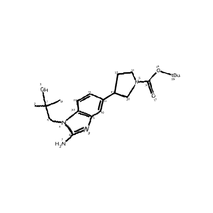 CC(C)(O)Cn1c(N)nc2cc(C3CCN(C(=O)OC(C)(C)C)C3)ccc21